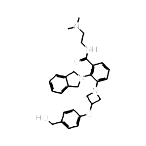 CN(C)CCNC(=O)c1cccc(N2CC(Oc3ccc(CO)cc3)C2)c1N1Cc2ccccc2C1